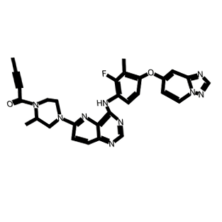 CC#CC(=O)N1CCN(c2ccc3ncnc(Nc4ccc(Oc5ccn6ncnc6c5)c(C)c4F)c3n2)CC1C